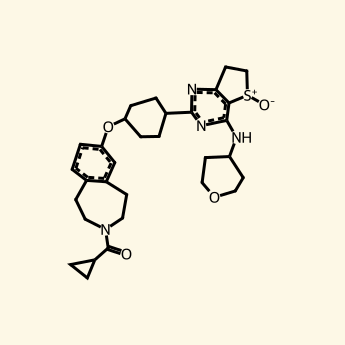 O=C(C1CC1)N1CCc2ccc(OC3CCC(c4nc5c(c(NC6CCOCC6)n4)[S+]([O-])CC5)CC3)cc2CC1